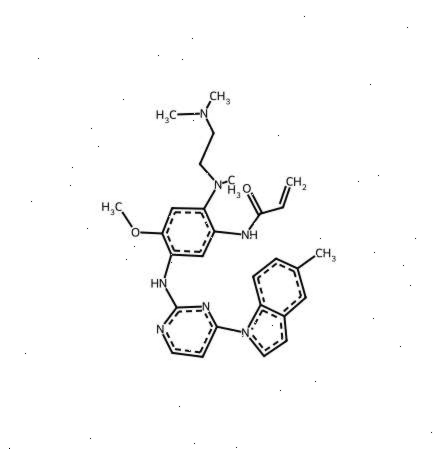 C=CC(=O)Nc1cc(Nc2nccc(-n3ccc4cc(C)ccc43)n2)c(OC)cc1N(C)CCN(C)C